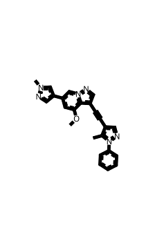 COc1cc(-c2cnn(C)c2)cn2ncc(C#Cc3cnn(-c4ccccc4)c3C)c12